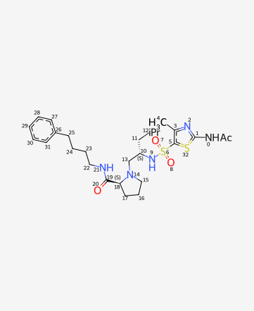 CC(=O)Nc1nc(C)c(S(=O)(=O)N[C@@H](CC(C)C)CN2CCC[C@H]2C(=O)NCCCCc2ccccc2)s1